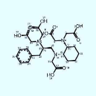 O=C(O)CN(CC(=O)O)[C@H]1CCCC[C@@H]1N(CC(=O)O)C[C@@H](Cc1ccccc1)[As](CC(=O)O)CC(=O)O